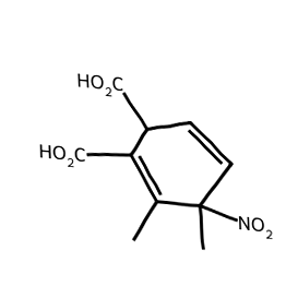 CC1=C(C(=O)O)C(C(=O)O)C=CC1(C)[N+](=O)[O-]